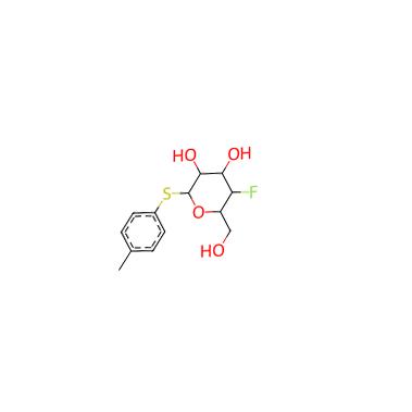 Cc1ccc(SC2OC(CO)C(F)C(O)C2O)cc1